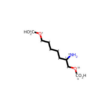 NC(CCCCCOC(=O)O)COC(=O)O